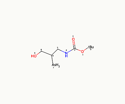 CC(C)(C)OC(=O)NCC([AsH2])CO